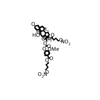 COc1cc(C(=O)OCCCCO[N+](=O)[O-])ccc1OC(=O)OCC(=O)[C@@]1(OC(=O)CCCO[N+](=O)[O-])CCC2C3CCC4=CC(=O)C=C[C@]4(C)[C@H]3[C@@H](O)C[C@@]21C